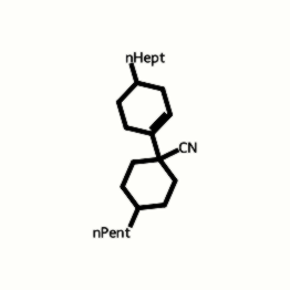 CCCCCCCC1CC=C(C2(C#N)CCC(CCCCC)CC2)CC1